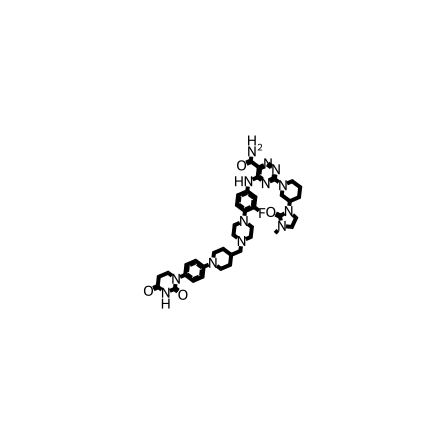 CN1CCN(C2CCCN(c3nnc(C(N)=O)c(Nc4ccc(N5CCN(CC6CCN(c7ccc(N8CCC(=O)NC8=O)cc7)CC6)CC5)c(F)c4)n3)C2)C1=O